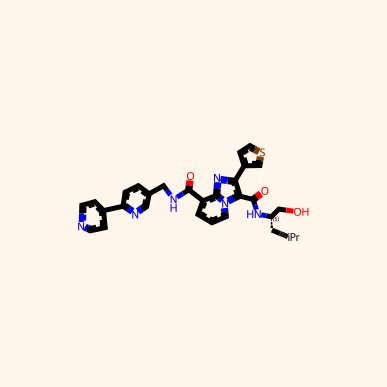 CC(C)C[C@@H](CO)NC(=O)c1c(-c2ccsc2)nc2c(C(=O)NCc3ccc(-c4ccncc4)nc3)cccn12